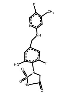 Cc1cc(NCc2cc(O)c(N3CC(=O)NS3(=O)=O)c(F)c2)ncc1F